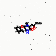 COC(=O)C[C@H]1C(=O)N[C@@H](Cc2ccccc2)C(=O)N1C(C)=O